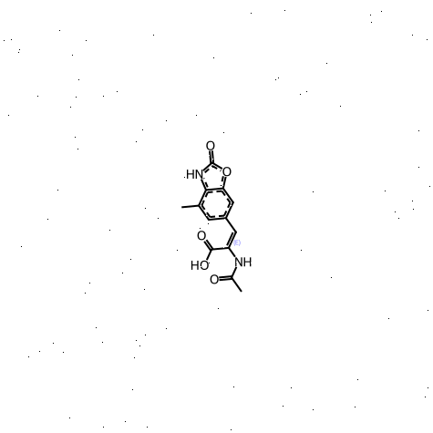 CC(=O)N/C(=C/c1cc(C)c2[nH]c(=O)oc2c1)C(=O)O